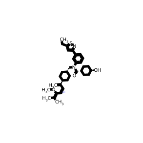 C=C(/C=C\C(OC)=C(C)C)[C@H]1CC[C@H](CN(c2cccc(-c3cc(CC)sn3)c2)C(=O)[C@H]2CC[C@H](O)CC2)CC1